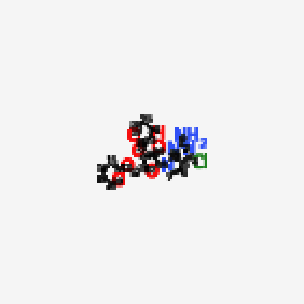 Nc1nc(Cl)c2ccn([C@@H]3O[C@H](COC4CCCCO4)[C@@H](OC4CCCCO4)[C@@H]3O)c2n1